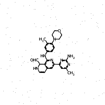 Cc1cc(-c2cc3c(c(Nc4ccc(N5CCOCC5)c(C)c4)n2)C(C=O)NC=C3)nc(N)n1